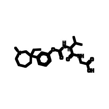 CCC1(c2cccc(OC(=O)N[C@H](C(=O)NCC(=O)O)C(C)C)c2)CCCCN(C)C1